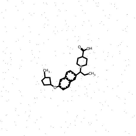 CCC(c1ccc2cc(OC3CCC(C)C3)ccc2c1)N1CCC(C(=O)O)CC1